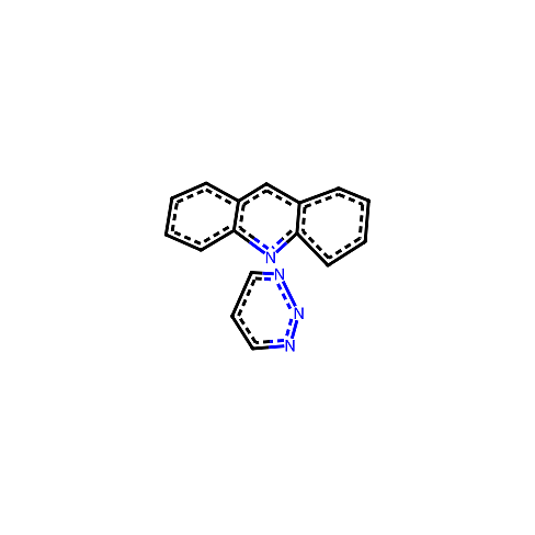 c1ccc2nc3ccccc3cc2c1.c1cnnnc1